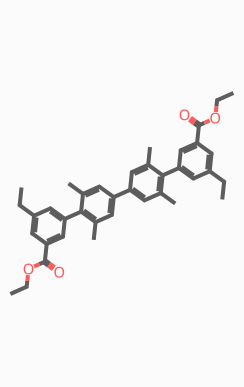 CCOC(=O)c1cc(CC)cc(-c2c(C)cc(-c3cc(C)c(-c4cc(CC)cc(C(=O)OCC)c4)c(C)c3)cc2C)c1